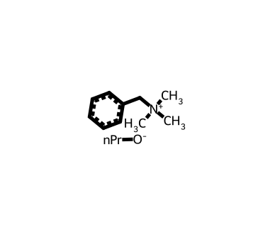 CCC[O-].C[N+](C)(C)Cc1ccccc1